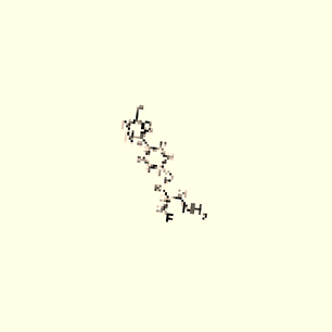 Cc1nnc(-c2ccc(OC/C(=C/F)CN)cc2)o1